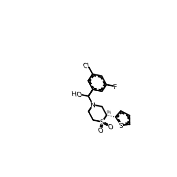 O=S1(=O)CCN(C(O)c2cc(F)cc(Cl)c2)C[C@@H]1c1cccs1